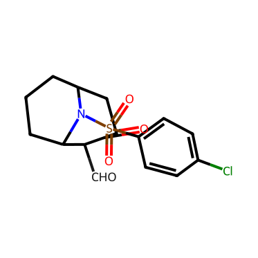 O=CC1C(=O)CC2CCCC1N2S(=O)(=O)c1ccc(Cl)cc1